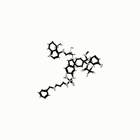 COC(=O)C1(N(C(=O)C(F)(F)F)c2cccc(Cl)c2)CCC2(CC1)c1cc(OP(=O)(O)OCCCOCc3ccccc3)ccc1C[C@@H]2C[C@@H](C)COc1ccnc2c1[C@H](C)CCC2